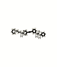 O=C(Nc1ccccc1)Nc1cccc(C#Cc2cnc(NCCCN3CCCCC3)nc2)c1